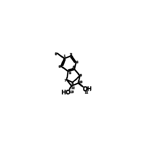 Cc1ccc2c(c1)C1CC2C(O)C1O